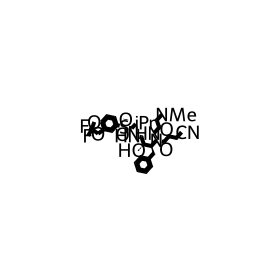 CNCC(=O)NN(C(=O)CCC#N)[C@@H](Cc1ccccc1)[C@H](O)CNC(C(C)C)S(=O)(=O)c1ccc2c(c1)OC(F)(F)O2